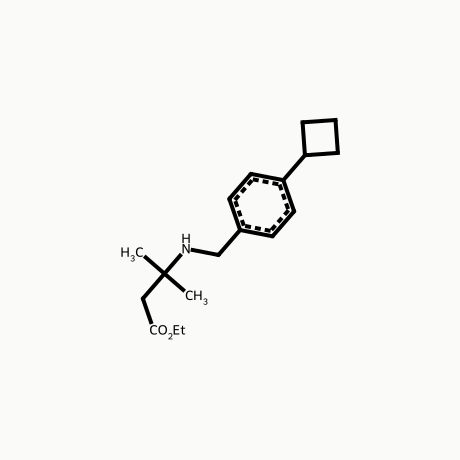 CCOC(=O)CC(C)(C)NCc1ccc(C2CCC2)cc1